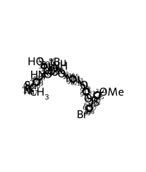 COc1ccc2c(Oc3ccc(OCCN4CCN(CCOCC(=O)N[C@H](C(=O)N5C[C@H](O)C[C@H]5C(=O)NCc5ccc(-c6scnc6C)cc5)C(C)(C)C)CC4)cc3)c(-c3ccc(Br)cc3)sc2c1